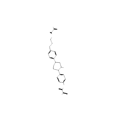 C=C(C)C(=O)OCCCc1ccc(C2CCC(c3ccc(OC(=O)C(=C)C)cc3)C(F)C2)cc1